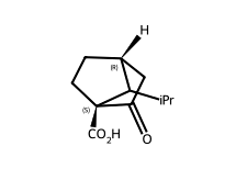 CC(C)C1[C@@H]2CC[C@@]1(C(=O)O)C(=O)C2